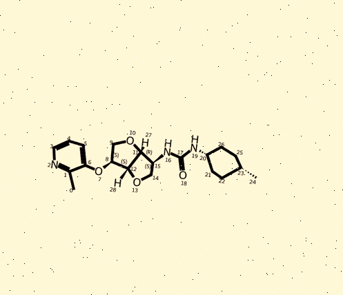 Cc1ncccc1O[C@H]1CO[C@H]2[C@@H]1OC[C@@H]2NC(=O)N[C@H]1CC[C@@H](C)CC1